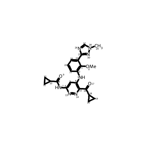 COc1c(Nc2cc(NC(=O)C3CC3)nnc2C(=O)C2CC2)cccc1-c1ncn(C)n1